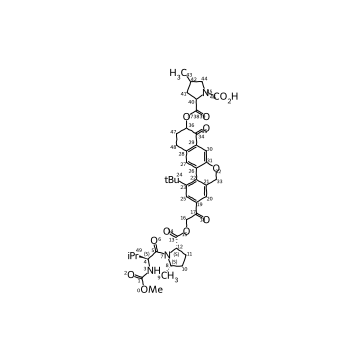 COC(=O)N[C@H](C(=O)N1[C@@H](C)CC[C@H]1C(=O)OCC(=O)c1cc2c(c(C(C)(C)C)c1)-c1cc3c(cc1OC2)C(=O)C(OC(=O)C1CC(C)CN1C(=O)O)CC3)C(C)C